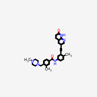 Cc1ccc(NC(=O)c2ccc(CN3CCN(C)CC3)c(C)c2)cc1C#Cc1cnc2[nH]c(=O)ccc2c1